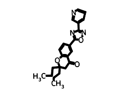 CCCC1(CCC)CC(=O)c2cc(-c3nc(-c4cccnc4)no3)ccc2O1